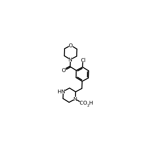 O=C(c1cc(CC2CNCCN2C(=O)O)ccc1Cl)N1CCOCC1